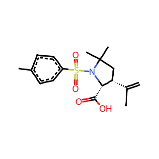 C=C(C)[C@H]1CC(C)(C)N(S(=O)(=O)c2ccc(C)cc2)[C@H]1C(=O)O